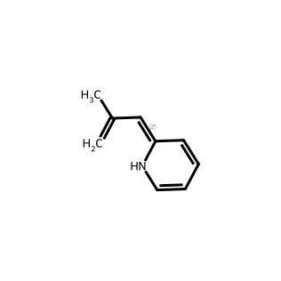 C=C(C)/C=C1/C=CC=CN1